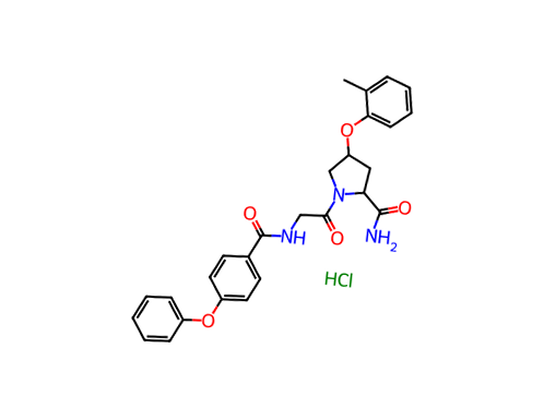 Cc1ccccc1OC1CC(C(N)=O)N(C(=O)CNC(=O)c2ccc(Oc3ccccc3)cc2)C1.Cl